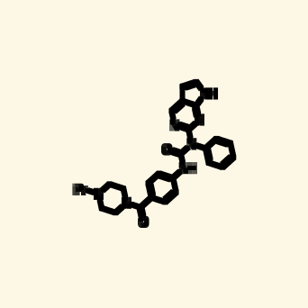 CC(C)N1CCN(C(=O)c2ccc(NC(=O)N(c3ccccc3)c3ncc4cc[nH]c4n3)cc2)CC1